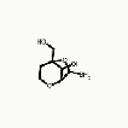 B[C@@H]1O[C@@]2(CO)CCOC1C2O